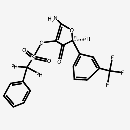 [2H]C([2H])(c1ccccc1)S(=O)(=O)OC1=C(N)O[C@@]([2H])(c2cccc(C(F)(F)F)c2)C1=O